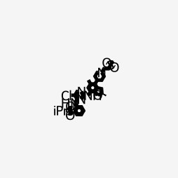 Cc1cc(Nc2ncc(Cl)c(Nc3ccccc3S(=O)(=O)C(C)C)n2)c2c(c1C1CCN(CCS(C)(=O)=O)CC1)C[C@@H](C)O2